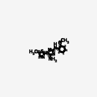 COc1ccccc1Nc1nc(N)n(-c2ncc(C)s2)n1